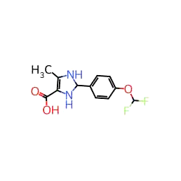 CC1=C(C(=O)O)NC(c2ccc(OC(F)F)cc2)N1